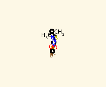 Cc1cccc(C)c1-c1csc(N2CCN(S(=O)(=O)c3ccc(Br)cc3)CC2)n1